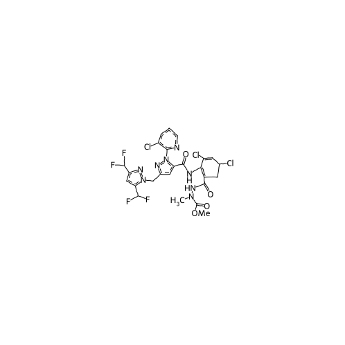 COC(=O)N(C)NC(=O)C1=C(NC(=O)c2cc(Cn3nc(C(F)F)cc3C(F)F)nn2-c2ncccc2Cl)C(Cl)=CC(Cl)C1